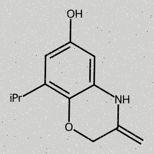 C=C1COc2c(cc(O)cc2C(C)C)N1